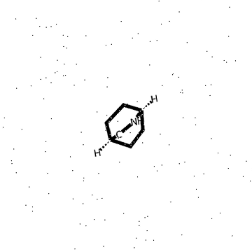 C1C[C@H]2CC[C@@H]1CN2